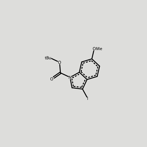 COc1ccc2c(I)cn(C(=O)OC(C)(C)C)c2c1